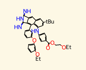 CCOCCOC(=O)c1ccc(Nc2cc(C(C)(C)C)cc3cc4c(c(-c5cccc(Oc6cccc(OCC)c6)c5)c23)C(=N)NC4=N)cc1